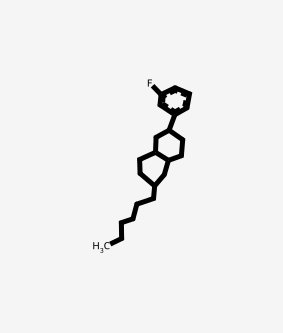 CCCCCCC1CCC2CC(c3cccc(F)c3)CCC2C1